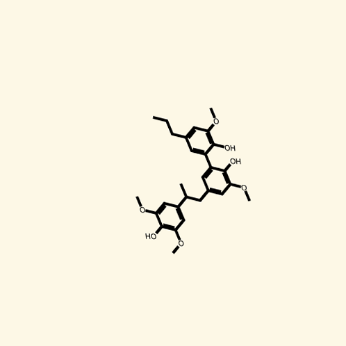 CCCc1cc(OC)c(O)c(-c2cc(CC(C)c3cc(OC)c(O)c(OC)c3)cc(OC)c2O)c1